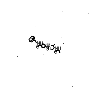 C=CC(=O)NC1CCN(S(=O)(=O)c2ccc(C(=O)NCCC34CC5CC(CC(C5)C3)C4)cc2)CC1C